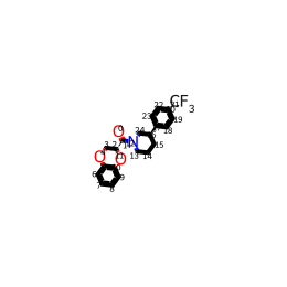 O=C([C@H]1COc2ccccc2O1)N1CCC[C@H](c2ccc(C(F)(F)F)cc2)C1